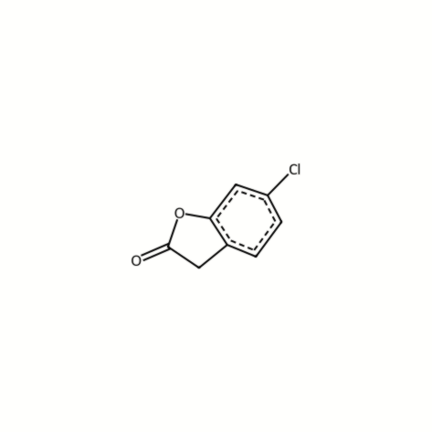 O=C1Cc2ccc(Cl)cc2O1